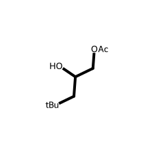 CC(=O)OCC(O)CC(C)(C)C